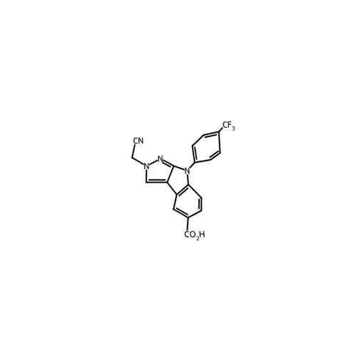 N#CCn1cc2c3cc(C(=O)O)ccc3n(-c3ccc(C(F)(F)F)cc3)c2n1